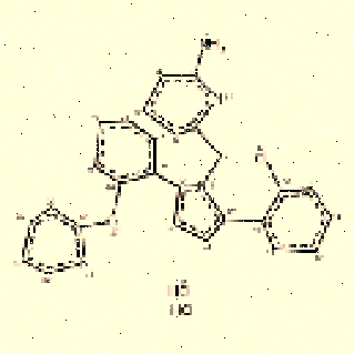 Cl.Cl.Nc1cccc(Cn2c(-c3ccccc3Cl)ccc2-c2ccccc2Oc2ccccn2)n1